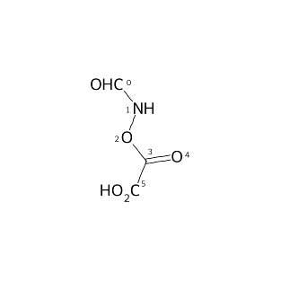 O=CNOC(=O)C(=O)O